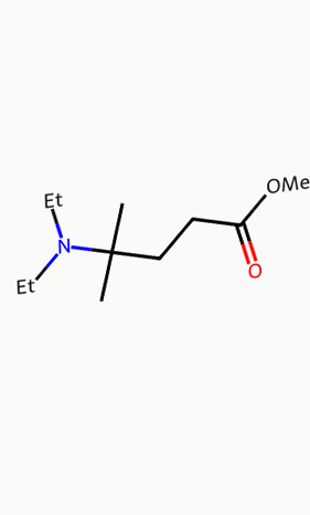 CCN(CC)C(C)(C)CCC(=O)OC